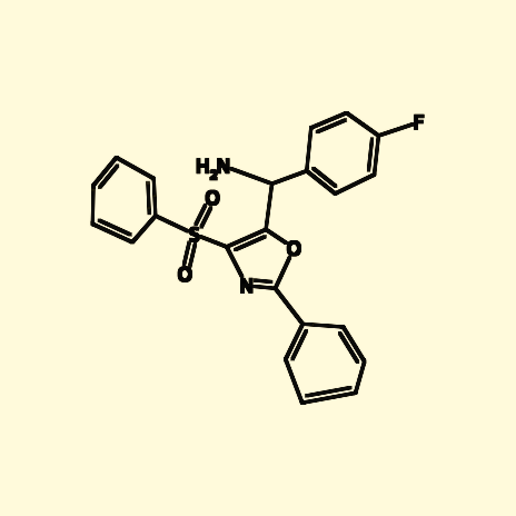 NC(c1ccc(F)cc1)c1oc(-c2ccccc2)nc1S(=O)(=O)c1ccccc1